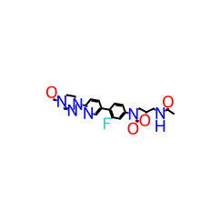 CC(=O)NCC1CN(c2ccc(-c3ccc(N4CCN(C=O)C=N4)nc3)c(F)c2)C(=O)O1